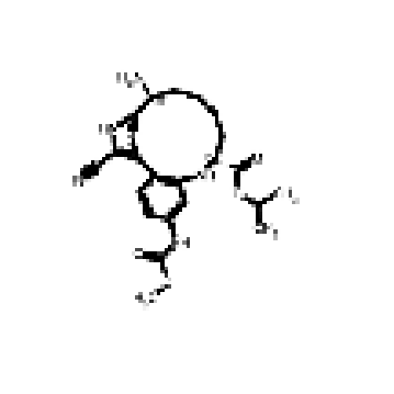 COC(=O)Nc1ccc2c(c1)N[C@@H](C(=O)OC(C)C)CCCC[C@H](N)c1nc-2c(C#N)[nH]1